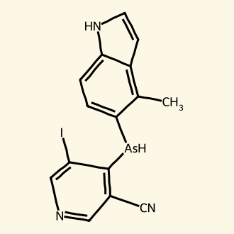 Cc1c([AsH]c2c(I)cncc2C#N)ccc2[nH]ccc12